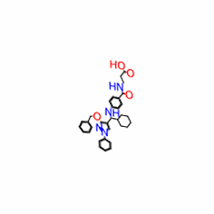 O=C(O)CCNC(=O)c1ccc(NC(c2cn(-c3ccccc3)nc2OCc2ccccc2)C2CCCCC2)cc1